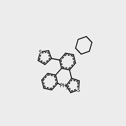 C1CCCCC1.Pc1ccccc1-c1c(-c2ccsc2)cccc1-c1ccsc1